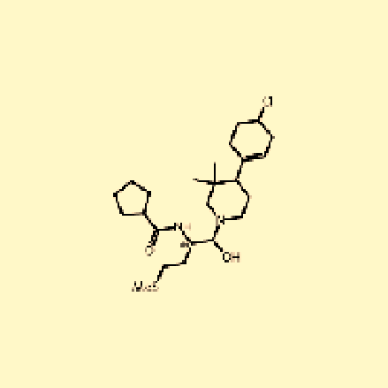 CSCC[C@@H](NC(=O)C1CCCC1)C(O)N1CCC(C2=CCC(Cl)CC2)C(C)(C)C1